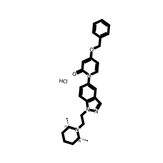 C[C@@H]1CCC[C@H](C)N1CCn1ncc2cc(-n3ccc(OCc4ccccc4)cc3=O)ccc21.Cl